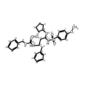 COc1ccc(S(=O)(=O)NC(OC2CCCC2)[C@@H](O)[C@H](Cc2ccccc2)NC(=O)OCc2ccccc2)cc1